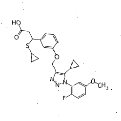 COc1ccc(F)c(-n2nnc(COc3cccc(C(CC(=O)O)SC4CC4)c3)c2C2CC2)c1